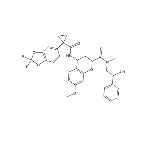 COc1ccc2c(c1)OC(C(=O)N(C)CC(O)c1ccccc1)CC2NC(=O)C1(c2ccc3c(c2)OC(F)(F)O3)CC1